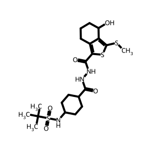 CSc1sc(C(=O)NNC(=O)C2CCC(NS(=O)(=O)C(C)(C)C)CC2)c2c1C(O)CCC2